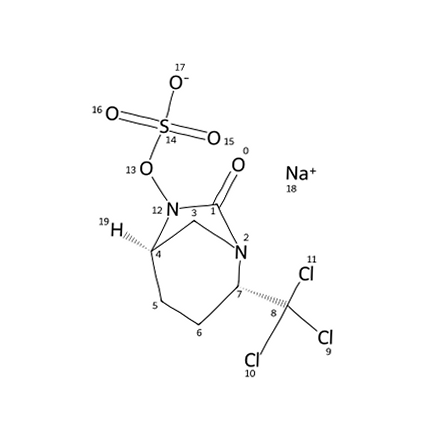 O=C1N2C[C@@H](CC[C@H]2C(Cl)(Cl)Cl)N1OS(=O)(=O)[O-].[Na+]